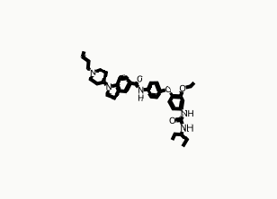 CCCCN1CCC(N2CCc3cc(C(=O)Nc4ccc(Oc5ccc(NC(=O)NC(CC)CC)cc5OCC)cc4)ccc32)CC1